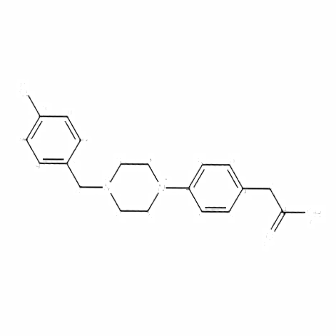 O=C(O)Cc1ccc(N2CCN(Cc3ccc(Cl)cc3)CC2)cc1